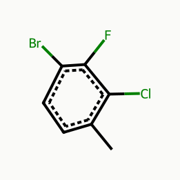 Cc1ccc(Br)c(F)c1Cl